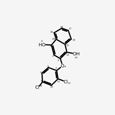 Oc1cc(Oc2ccc(Cl)cc2Cl)c(O)c2ccccc12